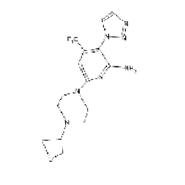 Nc1nc(N2CCN(C3COC3)CC2)cc(C(F)(F)F)c1-n1ccnn1